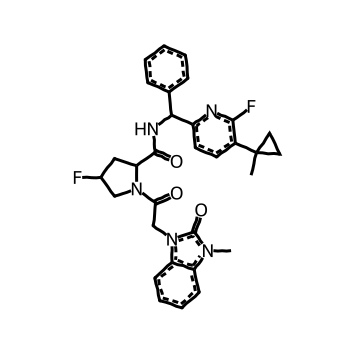 Cn1c(=O)n(CC(=O)N2CC(F)CC2C(=O)NC(c2ccccc2)c2ccc(C3(C)CC3)c(F)n2)c2ccccc21